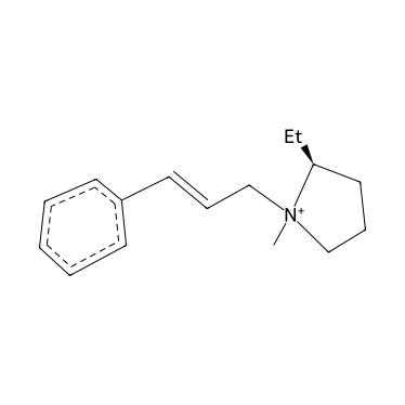 CC[C@H]1CCC[N+]1(C)C/C=C/c1ccccc1